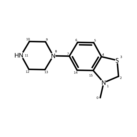 CN1CSc2ccc(N3CCNCC3)cc21